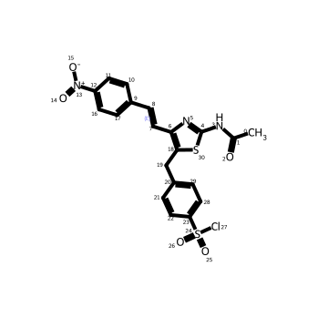 CC(=O)Nc1nc(/C=C/c2ccc([N+](=O)[O-])cc2)c(Cc2ccc(S(=O)(=O)Cl)cc2)s1